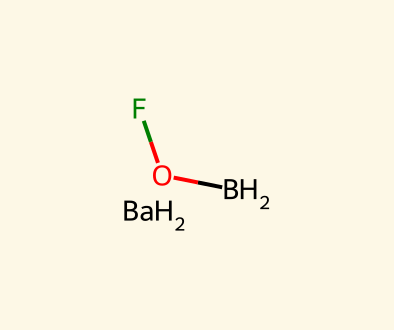 BOF.[BaH2]